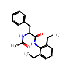 CCc1cccc(CC)c1NC(=O)[C@H](Cc1ccccc1)NC(C)=O